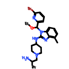 CCOC(c1cccc(Br)n1)n1c(NC2CCN(CC(N)C(C)C)CC2)nc2c(C)cccc21